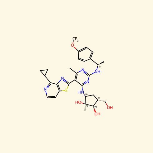 Cc1nc(N[C@H](C)c2ccc(OC(F)(F)F)cc2)nc(N[C@@H]2C[C@H](CO)[C@@H](O)[C@@]2(C)O)c1-c1nc2c(C3CC3)nccc2s1